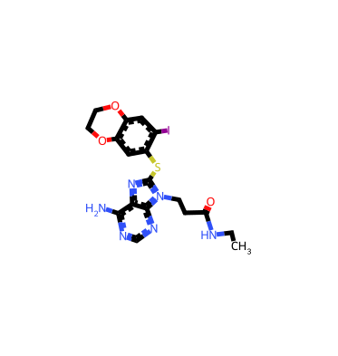 CCNC(=O)CCn1c(Sc2cc3c(cc2I)OCCO3)nc2c(N)ncnc21